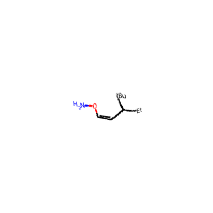 CCC(/C=C\ON)C(C)(C)C